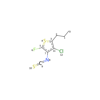 CCCc1sc(F)c(N=C=S)c1Cl